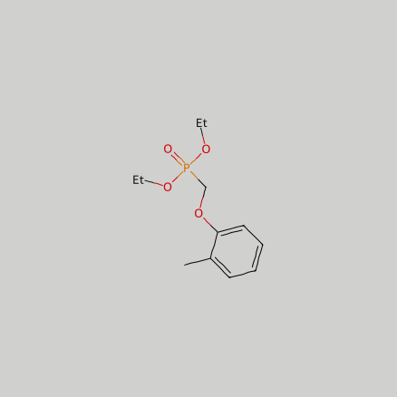 CCOP(=O)(COc1ccccc1C)OCC